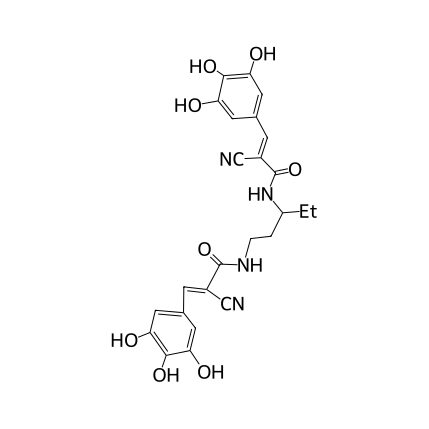 CCC(CCNC(=O)/C(C#N)=C/c1cc(O)c(O)c(O)c1)NC(=O)/C(C#N)=C/c1cc(O)c(O)c(O)c1